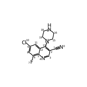 N#Cc1cnc2c(F)cc(Cl)cc2c1N1CCNCC1